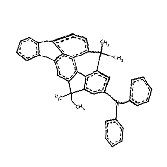 CC1(C)c2cc(N(c3ccccc3)c3ccccc3)cc3c2-c2c1cc1c4c(ccc(c24)C3(C)C)-c2ccccc2-1